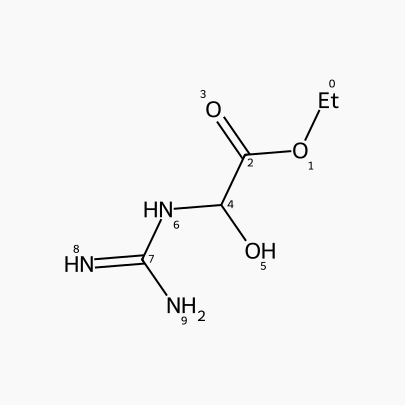 CCOC(=O)C(O)NC(=N)N